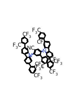 N#Cc1cc(-n2c3cc(-c4ccc(C(F)(F)F)cc4C(F)(F)F)ccc3c3ccc(-c4ccc(C(F)(F)F)cc4C(F)(F)F)cc32)c(-c2cc(C(F)(F)F)cc(C(F)(F)F)c2)cc1-n1c2cc(-c3ccc(C(F)(F)F)cc3C(F)(F)F)ccc2c2ccc(-c3ccc(C(F)(F)F)cc3C(F)(F)F)cc21